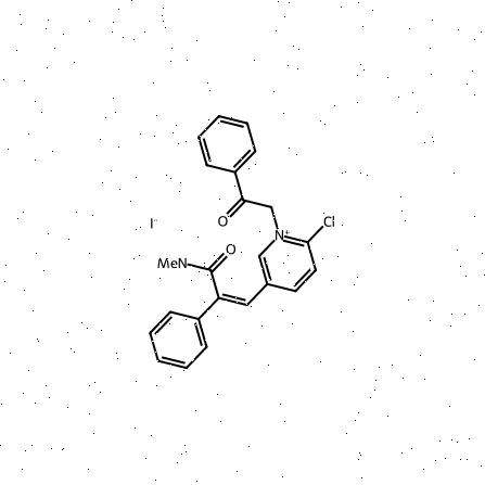 CNC(=O)C(=Cc1ccc(Cl)[n+](CC(=O)c2ccccc2)c1)c1ccccc1.[I-]